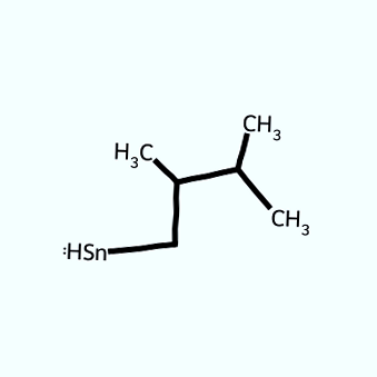 CC(C)C(C)[CH2][SnH]